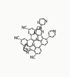 N#Cc1cc(C#N)cc(C(c2cc(C#N)cc(C#N)c2)=c2n3c4nccnc4c4c(C#N)ccc(c5ccc(-c6ccncc6)c6c7nc(-c8cnccn8)cnc7n2c56)c43)c1